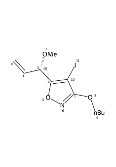 C=C[C@H](OC)c1onc(OCCCC)c1I